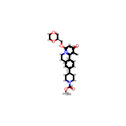 Cc1c2n(c(OC[C@@H]3COCCO3)cc1=O)CCc1cc(C3CCN(C(=O)OC(C)(C)C)CC3)ccc1-2